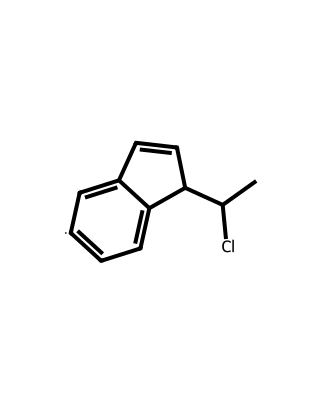 CC(Cl)C1C=Cc2c[c]ccc21